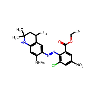 CC(=O)Nc1cc2c(cc1/N=N/c1c(Cl)cc([N+](=O)[O-])cc1C(=O)OCC#N)C(C)CC(C)(C)N2